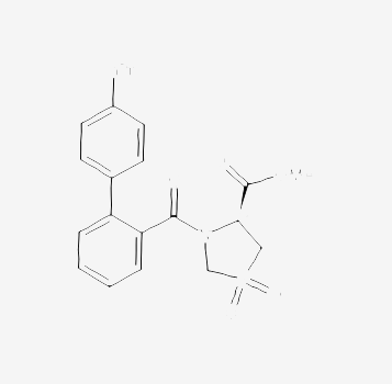 CCCc1ccc(-c2ccccc2C(=O)N2CS(=O)(=O)C[C@@H]2C(=O)OC)cc1